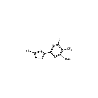 COc1nc(-c2ccc(Cl)o2)nc(F)c1C(F)(F)F